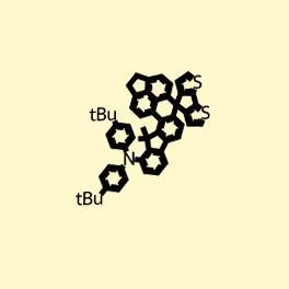 CC(C)(C)c1ccc(N(c2ccc(C(C)(C)C)cc2)c2cccc3c2C(C)(C)c2c-3ccc3c2-c2ccc4c5c(ccc(c25)C32c3ccsc3-c3sccc32)CC4)cc1